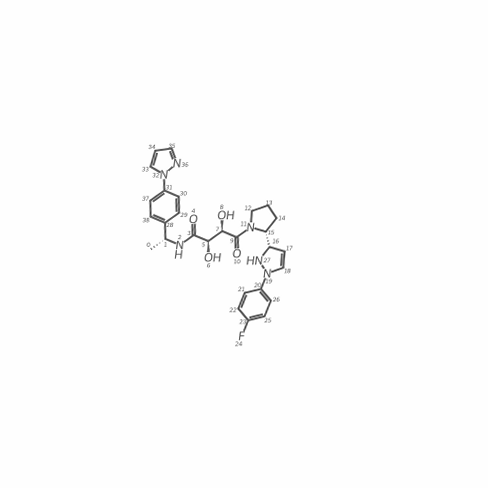 C[C@@H](NC(=O)[C@H](O)[C@@H](O)C(=O)N1CCC[C@@H]1C1C=CN(c2ccc(F)cc2)N1)c1ccc(-n2cccn2)cc1